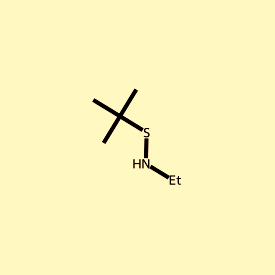 CCNSC(C)(C)C